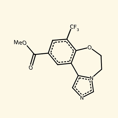 COC(=O)c1cc2c(c(C(F)(F)F)c1)OCCn1cncc1-2